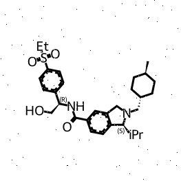 CCS(=O)(=O)c1ccc([C@H](CO)NC(=O)c2ccc3c(c2)CN(C[C@H]2CC[C@H](C)CC2)[C@H]3C(C)C)cc1